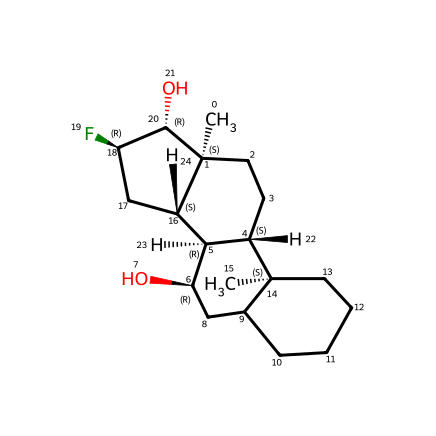 C[C@]12CC[C@H]3[C@@H]([C@H](O)CC4CCCC[C@@]43C)[C@@H]1C[C@@H](F)[C@@H]2O